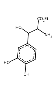 CCOC(=O)C(N)C(O)c1ccc(O)c(O)c1